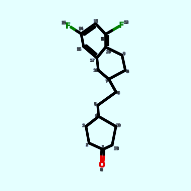 O=C1CCC(CCC2CCc3c(F)cc(F)cc3C2)CC1